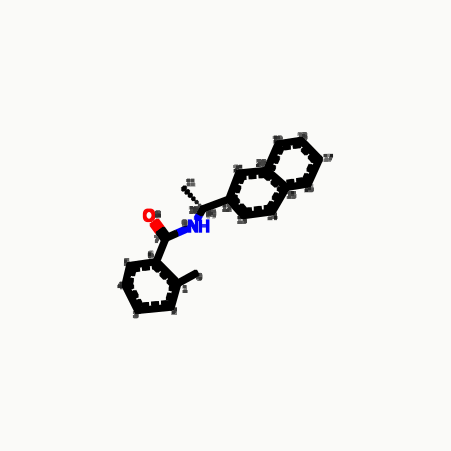 Cc1ccccc1C(=O)N[C@H](C)c1ccc2ccccc2c1